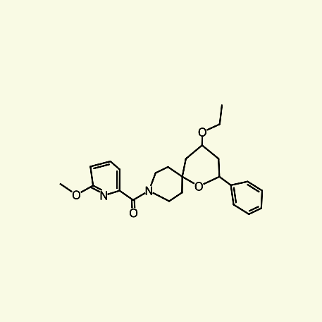 CCOC1CC(c2ccccc2)OC2(CCN(C(=O)c3cccc(OC)n3)CC2)C1